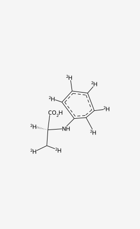 [2H]c1c([2H])c([2H])c(N[C@]([2H])(C(=O)O)C([2H])[2H])c([2H])c1[2H]